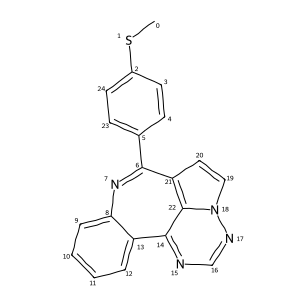 CSc1ccc(C2=Nc3ccccc3-c3ncnn4ccc2c34)cc1